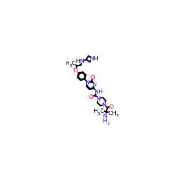 CC(CNC1CNC1)Oc1ccc(-n2ccc(NC(=O)N3CCN(C(=O)C(C)(C)N)CC3)nc2=O)cc1